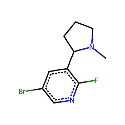 CN1CCCC1c1cc(Br)cnc1F